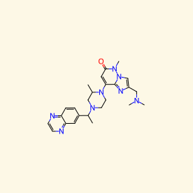 CC(c1ccc2nccnc2c1)N1CCN(c2cc(=O)n(C)n3cc(CN(C)C)nc23)C(C)C1